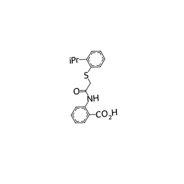 CC(C)c1ccccc1SCC(=O)Nc1ccccc1C(=O)O